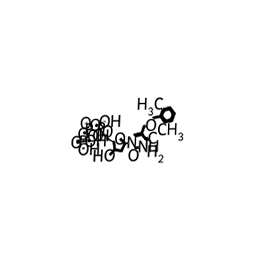 C=C1NC(=O)N([C@H]2CC(O)[C@@H](COP(=O)(O)OP(=O)(O)OP(=O)(O)O)O2)C=C1COCc1c(C)cccc1C